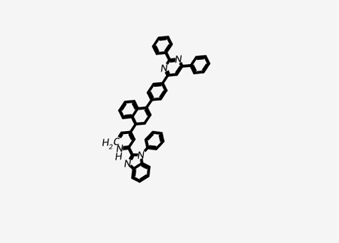 C=C/C(=C\C(=N)c1nc2ccccc2n1-c1ccccc1)C1CC=C(c2ccc(-c3cc(-c4ccccc4)nc(-c4ccccc4)n3)cc2)c2ccccc21